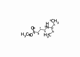 CCC(CC)NCCCC(=O)OC